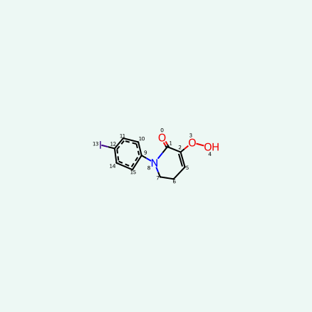 O=C1C(OO)=CCCN1c1ccc(I)cc1